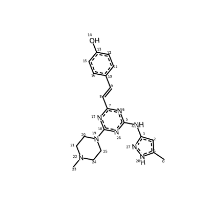 Cc1cc(Nc2nc(/C=C/c3ccc(O)cc3)nc(N3CCN(C)CC3)n2)n[nH]1